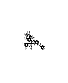 CNC(Cc1cc(F)cc(F)c1)c1nc2nc(OCc3ccncc3)ccc2c(=O)n1-c1ccc(Cl)c2c(N[S+](C)[O-])nn(C)c12